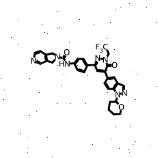 O=C(Nc1ccc(-c2cc(-c3ccc4c(cnn4C4CCCCO4)c3)c(=O)n(CC(F)(F)F)n2)cc1)N1Cc2ccncc2C1